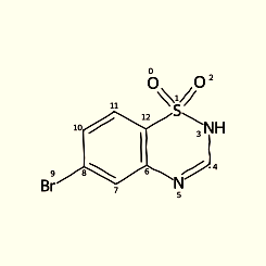 O=S1(=O)N[C]=Nc2cc(Br)ccc21